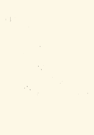 Cc1cc2ncn(Cc3ccc(Cl)cc3)c2cc1Cl